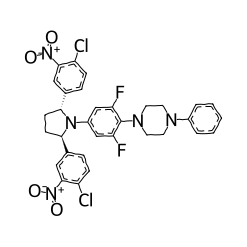 O=[N+]([O-])c1cc([C@H]2CC[C@H](c3ccc(Cl)c([N+](=O)[O-])c3)N2c2cc(F)c(N3CCN(c4ccccc4)CC3)c(F)c2)ccc1Cl